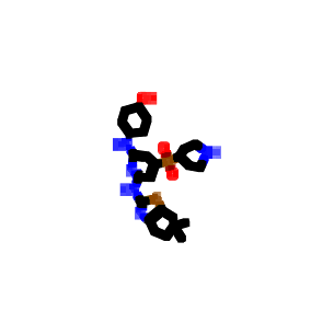 CC1(C)CCc2nc(Nc3cc(S(=O)(=O)C4CCNCC4)cc(N[C@H]4CC[C@H](O)CC4)n3)sc2C1